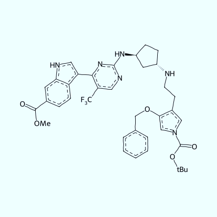 COC(=O)c1ccc2c(-c3nc(N[C@H]4CC[C@H](NCCc5cn(C(=O)OC(C)(C)C)cc5OCc5ccccc5)C4)ncc3C(F)(F)F)c[nH]c2c1